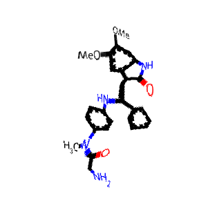 COc1cc2c(cc1OC)C(=C(Nc1ccc(N(C)C(=O)CN)cc1)c1ccccc1)C(=O)N2